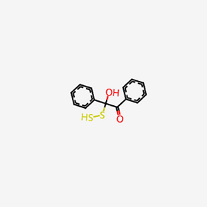 O=C(c1ccccc1)C(O)(SS)c1ccccc1